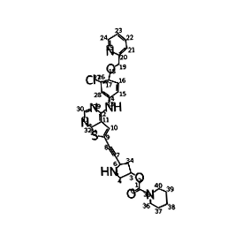 O=C(OC1CNC(C#Cc2cc3c(Nc4ccc(OCc5ccccn5)c(Cl)c4)ncnc3s2)C1)N1CCCCC1